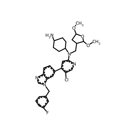 COC1CC(CN(c2cc(-c3ccc4ncn(Cc5cccc(F)c5)c4c3)c(Cl)cn2)C2CCC(N)CC2)C(OC)O1